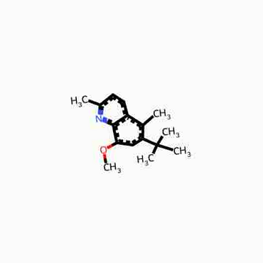 COc1cc(C(C)(C)C)c(C)c2ccc(C)nc12